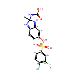 CC1(NC(=O)O)N=c2ccc(OS(=O)(=O)c3ccc(F)c(Cl)c3)cc2=N1